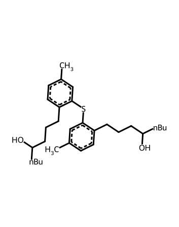 CCCCC(O)CCCc1ccc(C)cc1Sc1cc(C)ccc1CCCC(O)CCCC